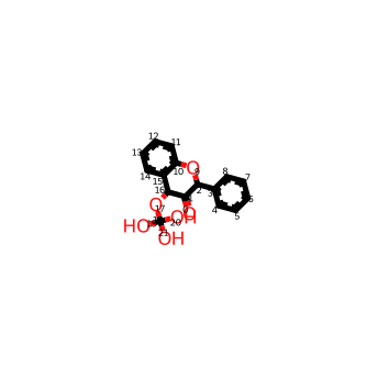 O=C1C(c2ccccc2)Oc2ccccc2C1OC(O)(O)O